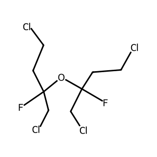 FC(CCl)(CCCl)OC(F)(CCl)CCCl